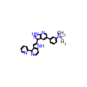 CN(C)c1cccc(-c2cnc3[nH]nc(-c4cc5c(-c6ccccn6)nccc5[nH]4)c3c2)c1